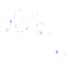 Cn1c(=O)n2c3c4c(c(-c5cnc(OCCCN6CCCCC6)cn5)c(F)cc4ncc31)OCC2(C)C